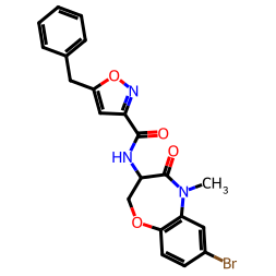 CN1C(=O)C(NC(=O)c2cc(Cc3ccccc3)on2)COc2ccc(Br)cc21